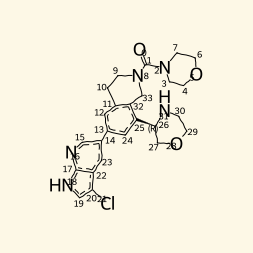 O=C(N1CCOCC1)N1CCc2cc(-c3cnc4[nH]cc(Cl)c4c3)cc([C@@H]3COCCN3)c2C1